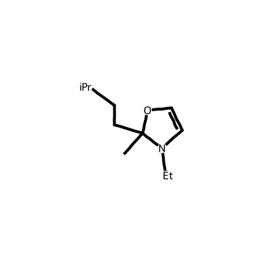 CCN1C=COC1(C)CCC(C)C